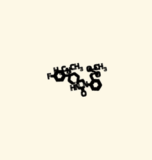 CN(C)[C@]1(c2ccc(F)cc2)CC[C@]2(CC1)CN(c1ccccc1CS(C)(=O)=O)C(=O)N2